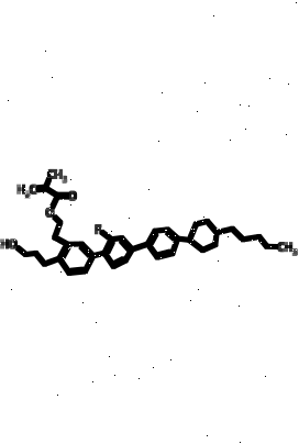 C=C(C)C(=O)OCCc1cc(-c2ccc(-c3ccc(C4CCC(CCCCC)CC4)cc3)cc2F)ccc1CCCO